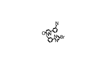 N#Cc1cccc(-c2ccc(=O)n(Cc3cccc(-c4ncc(Br)cn4)c3)n2)c1